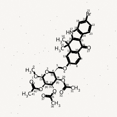 CO[C@H]1O[C@H](COc2ccc3c(c2)C(C)(C)c2[nH]c4cc(Br)ccc4c2C3=O)[C@@H](OC(C)=O)[C@H](OC(C)=O)[C@H]1OC(C)=O